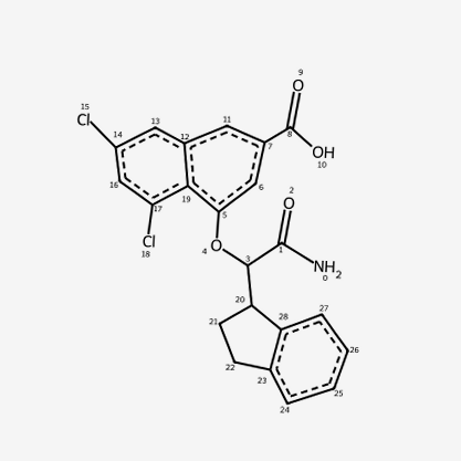 NC(=O)C(Oc1cc(C(=O)O)cc2cc(Cl)cc(Cl)c12)C1CCc2ccccc21